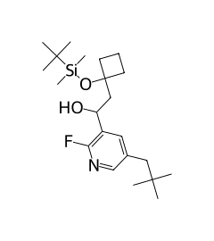 CC(C)(C)Cc1cnc(F)c(C(O)CC2(O[Si](C)(C)C(C)(C)C)CCC2)c1